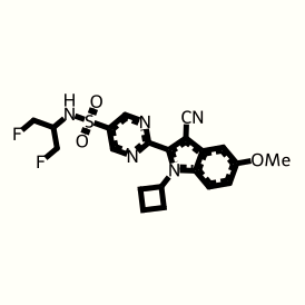 COc1ccc2c(c1)c(C#N)c(-c1ncc(S(=O)(=O)NC(CF)CF)cn1)n2C1CCC1